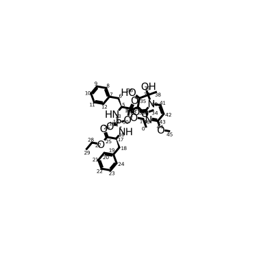 CCOC(=O)[C@H](Cc1ccccc1)NP(=O)(N[C@@H](Cc1ccccc1)C(=O)OCC)OCC(OC)C(O)C(C)(O)n1ccc(OC)nc1=O